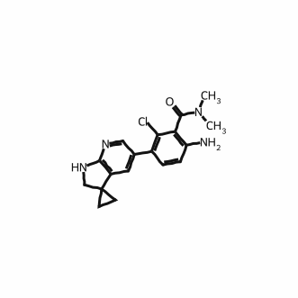 CN(C)C(=O)c1c(N)ccc(-c2cnc3c(c2)C2(CC2)CN3)c1Cl